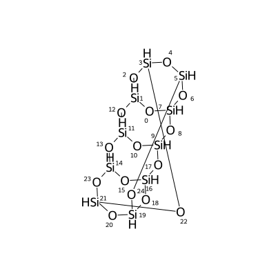 O1[SiH]2O[SiH]3O[SiH]4O[SiH]1O[SiH]1O[SiH](O2)O[SiH]2O[SiH](O1)O[SiH](O[SiH](O3)O2)O4